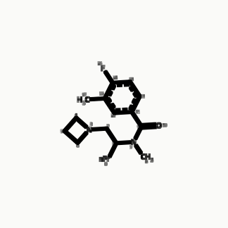 CCCC(CN1CCC1)N(C)C(=O)c1ccc(F)c(C)c1